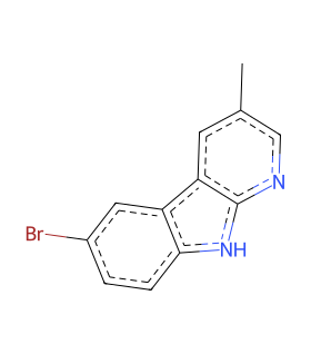 Cc1cnc2[nH]c3ccc(Br)cc3c2c1